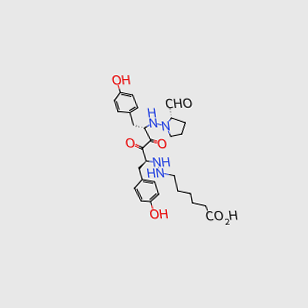 O=C[C@@H]1CCCN1N[C@@H](Cc1ccc(O)cc1)C(=O)C(=O)[C@H](Cc1ccc(O)cc1)NNCCCCCC(=O)O